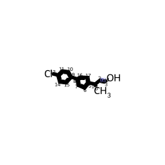 CC(/C=C/O)c1ccc(-c2ccc(Cl)cc2)cc1